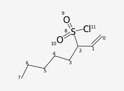 C=CC(CCCCC)S(=O)(=O)Cl